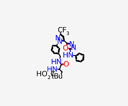 CC(C)(C)CC(NC(=O)O)C(=O)NCc1cccc(-n2nc(C(F)(F)F)cc2-c2nnc(Nc3ccccc3)o2)c1